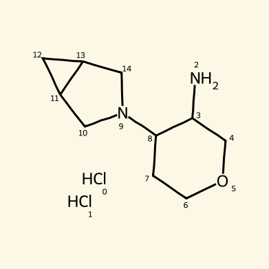 Cl.Cl.NC1COCCC1N1CC2CC2C1